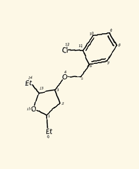 CCC1CC(OCc2ccccc2Cl)C(CC)O1